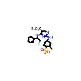 CCOC(=O)c1cnc(Nc2ccc(S(C)(=O)=O)c(C)c2)nc1NC(CF)c1ccccc1